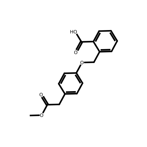 COC(=O)Cc1ccc(OCc2ccccc2C(=O)O)cc1